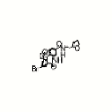 O=C(NCCC1CCCO1)c1ccc2c(c1)NC(=O)c1cc(Br)cn1S2(=O)=O